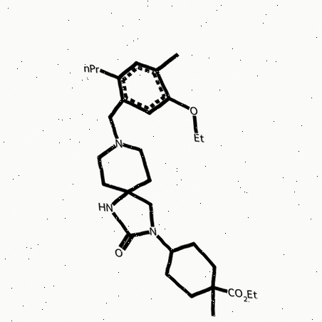 CCCc1cc(C)c(OCC)cc1CN1CCC2(CC1)CN(C1CCC(C)(C(=O)OCC)CC1)C(=O)N2